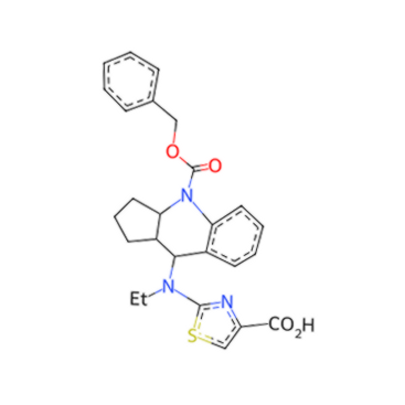 CCN(c1nc(C(=O)O)cs1)C1c2ccccc2N(C(=O)OCc2ccccc2)C2CCCC12